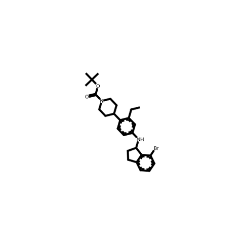 CCc1cc(NC2CCc3cccc(Br)c32)ccc1C1CCN(C(=O)OC(C)(C)C)CC1